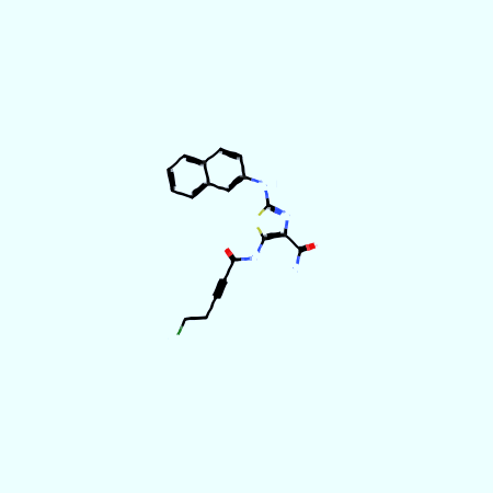 NC(=O)c1nc(Nc2ccc3ccccc3c2)sc1NC(=O)C#CCCCl